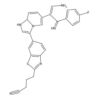 N#CCCCc1nc2ccc(C3=CNC4C=CC(/C(=C/N)C(=N)c5ccc(F)cc5)=CN34)cc2s1